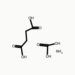 N.O=C(O)CCC(=O)O.O=C(O)O